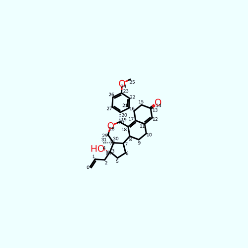 C=CC[C@]1(O)CCC2C3CCC4=CC(=O)CCC4=C3[C@@H](c3ccc(OC)cc3)OC[C@@]21C